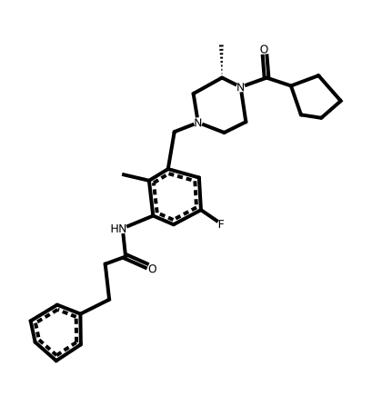 Cc1c(CN2CCN(C(=O)C3CCCC3)[C@@H](C)C2)cc(F)cc1NC(=O)CCc1ccccc1